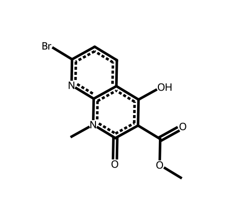 COC(=O)c1c(O)c2ccc(Br)nc2n(C)c1=O